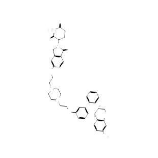 O=C1CCC(N2Cc3cc(OCCN4CCN(CCOc5ccc([C@H]6c7ccc(O)cc7OC[C@H]6c6ccccc6)cc5)CC4)ccc3C2=O)C(=O)N1